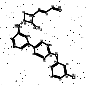 C[C@H]1[C@H](Nc2cncc(-c3cnc(Oc4cccc(Cl)c4)nc3)n2)CN1C=CC=O